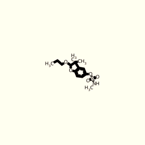 CCCOC1Oc2ccc(OS(=O)(=O)NC)cc2C1(C)C